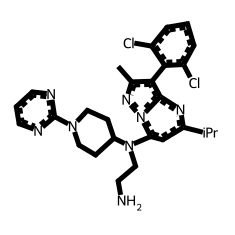 Cc1nn2c(N(CCN)C3CCN(c4ncccn4)CC3)cc(C(C)C)nc2c1-c1c(Cl)cccc1Cl